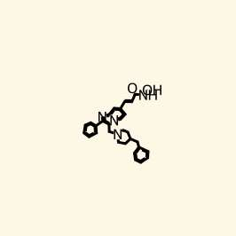 O=C(/C=C/c1ccn2c(CN3CCC(Cc4ccccc4)CC3)c(-c3ccccc3)nc2c1)NO